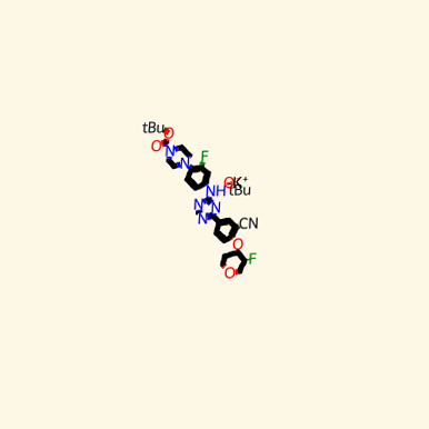 CC(C)(C)OC(=O)N1CCN(c2ccc(Nc3ncnc(-c4ccc(O[C@H]5CCOC[C@H]5F)c(C#N)c4)n3)cc2F)CC1.CC(C)(C)[O-].[K+]